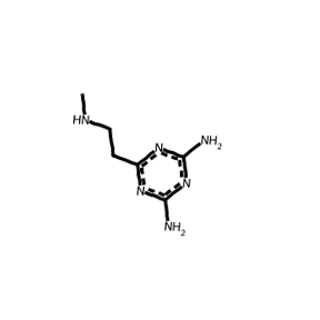 CNCCc1nc(N)nc(N)n1